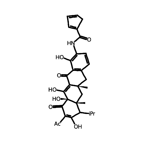 CC(=O)C1=C(O)C(C(C)C)[C@@]2(C)C[C@@]3(C)Cc4ccc(NC(=O)C5=CC=CC5)c(O)c4C(=O)C3=C(O)[C@@]2(O)C1=O